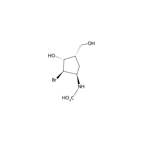 O=C(O)N[C@@H]1C[C@@H](CO)[C@@H](O)[C@@H]1Br